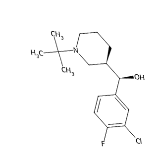 CC(C)(C)N1CCC[C@@H]([C@@H](O)c2ccc(F)c(Cl)c2)C1